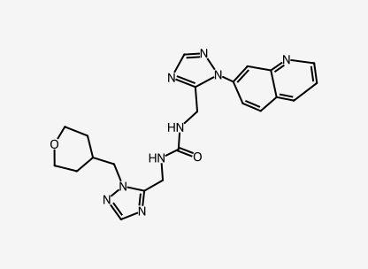 O=C(NCc1ncnn1CC1CCOCC1)NCc1ncnn1-c1ccc2cccnc2c1